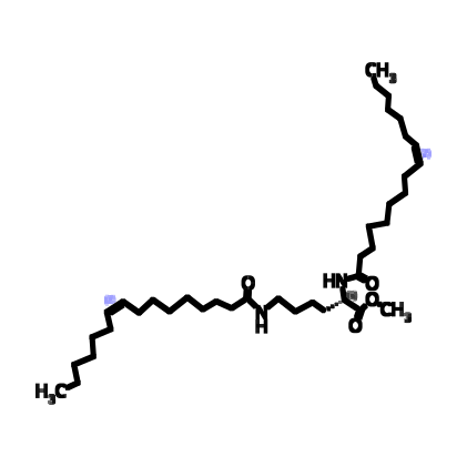 CCCCCC/C=C\CCCCCCCC(=O)NCCCC[C@H](NC(=O)CCCCCCC/C=C\CCCCCC)C(=O)OC